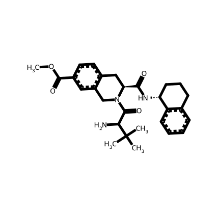 COC(=O)c1ccc2c(c1)CN(C(=O)C(N)C(C)(C)C)[C@H](C(=O)N[C@@H]1CCCc3ccccc31)C2